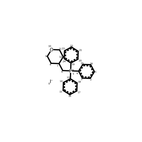 [I-].c1ccc([P+](CC2CCOCC2)(c2ccccc2)c2ccccc2)cc1